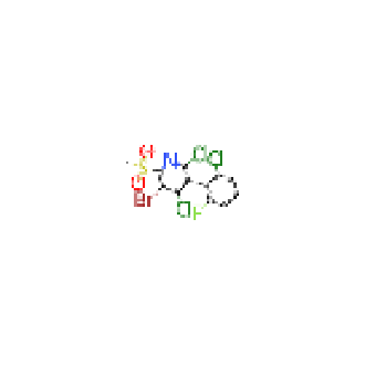 CS(=O)(=O)c1nc(Cl)c(-c2c(F)cccc2Cl)c(Cl)c1Br